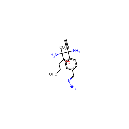 C#CC(N)(c1ccc(C=NN)cc1)C(N)(C(=O)O)C(=O)CCC=O